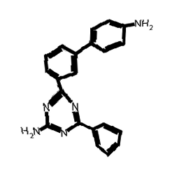 Nc1ccc(-c2cccc(-c3nc(N)nc(-c4ccccc4)n3)c2)cc1